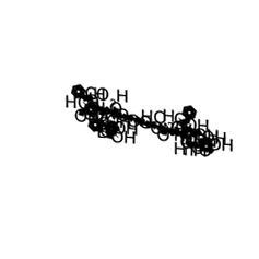 CCC[C@@H](O[C@@H]1OC(CO)[C@H](O)C(O[C@@H](CC2CCCCC2)C(=O)O)C1NC(=O)CNC(=O)COCCOCCOCCOCC(=O)NCC(=O)NC1C(O[C@@H](CC2CCCCC2)C(=O)O)[C@@H](O)C(CO)O[C@H]1O[C@@H]1CCCC(CC)C1O[C@@H]1OC(C)[C@@H](O)C(O)C1O)C(O[C@@H]1OC(C)[C@@H](O)C(O)C1O)[C@@H](C)CC